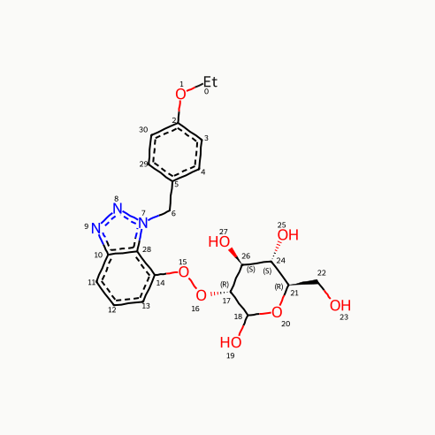 CCOc1ccc(Cn2nnc3cccc(OO[C@H]4C(O)O[C@H](CO)[C@@H](O)[C@@H]4O)c32)cc1